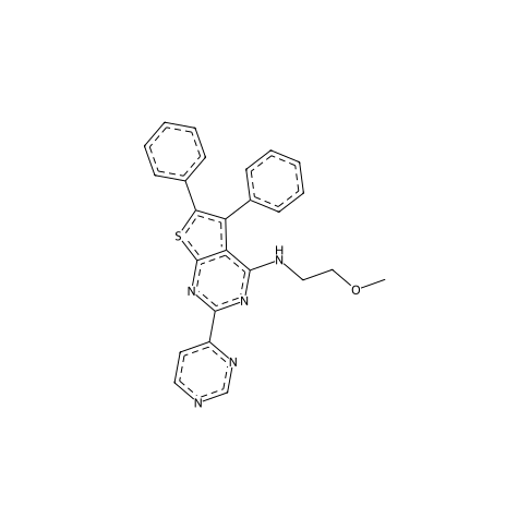 COCCNc1nc(-c2ccncn2)nc2sc(-c3ccccc3)c(-c3ccccc3)c12